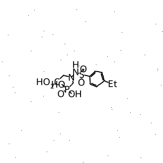 CCc1ccc(S(=O)(=O)NN(CC(=O)O)CP(=O)(O)O)cc1